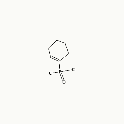 O=P(Cl)(Cl)C1=CCCCC1